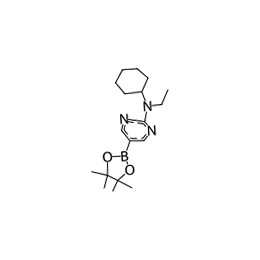 CCN(c1ncc(B2OC(C)(C)C(C)(C)O2)cn1)C1CCCCC1